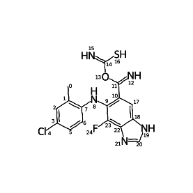 Cc1cc(Cl)ccc1Nc1c(C(=N)OC(=N)S)cc2[nH]cnc2c1F